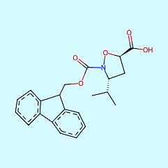 CC(C)[C@H]1C[C@H](C(=O)O)ON1C(=O)OCC1c2ccccc2-c2ccccc21